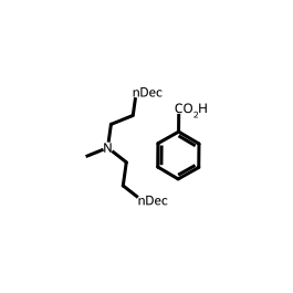 CCCCCCCCCCCCN(C)CCCCCCCCCCCC.O=C(O)c1ccccc1